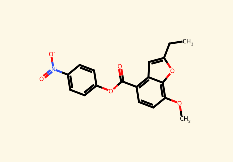 CCc1cc2c(C(=O)Oc3ccc([N+](=O)[O-])cc3)ccc(OC)c2o1